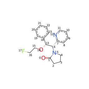 O=C1CCCN1[C@@H](c1ccccn1)[C@H](OCCF)c1ccccc1